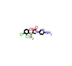 Nc1ccc(N2CC([SiH2]c3c(O)ccc(Cl)c3Cl)CC2=O)cn1